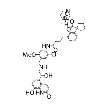 COc1cc(NC(=O)CCCc2cccc(C3(C(=O)O[C@H]4CN5CCC4CC5)CCCC3)c2)c(Cl)cc1CNCC(O)c1ccc(O)c2[nH]c(=O)ccc12